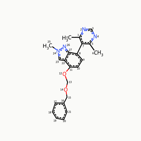 Cc1ncnc(C)c1-c1ccc(OCOCc2ccccc2)c2cn(C)nc12